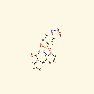 CC(=O)Nc1ccc(S(=O)(=O)N2CC(=O)c3ccccc3-c3ccccc32)cc1